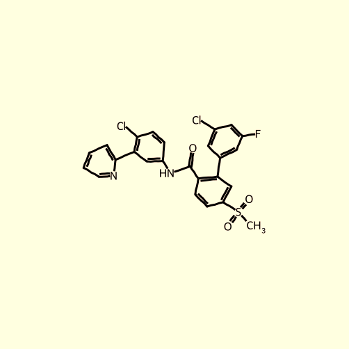 CS(=O)(=O)c1ccc(C(=O)Nc2ccc(Cl)c(-c3ccccn3)c2)c(-c2cc(F)cc(Cl)c2)c1